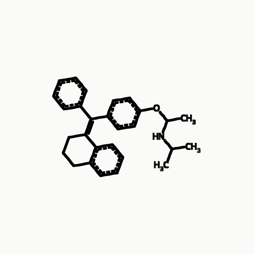 CC(C)NC(C)Oc1ccc(C(=C2CCCc3ccccc32)c2ccccc2)cc1